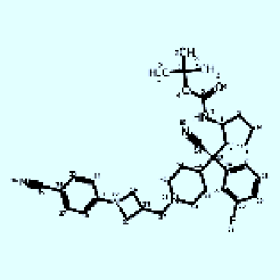 CC(C)(C)OC(=O)N[C@H]1CCC[C@@H]1[C@](C#N)(c1cccc(F)c1)C1CCN(CC2CN(c3ccc(C#N)cc3)C2)CC1